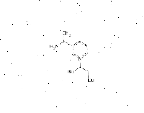 C=C(N)c1ccc[n+](C(CC(C)CC)C(C)CC)c1